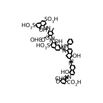 Cc1cc(N=Nc2c(S(=O)(=O)O)cc3ccc(N=Nc4c(Nc5ccccc5)ccc5c(O)c(N=Nc6ccc7ccc(N=Nc8cc(OC=O)ccc8C(=O)O)c(O)c7c6)ccc45)cc3c2O)c(OCOC=O)cc1N=Nc1cc(S(=O)(=O)O)cc2cc(S(=O)(=O)O)cc(O)c12